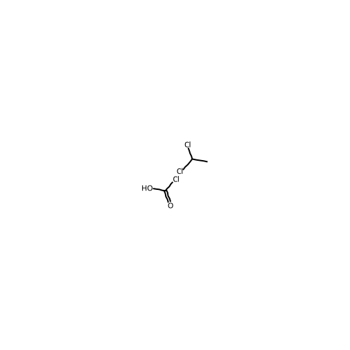 CC(Cl)Cl.O=C(O)Cl